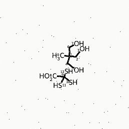 CC(CO)(CO)CO.O=C(O)C(S)(S)S